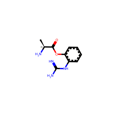 C[C@H](N)C(=O)Oc1ccccc1NC(=N)N